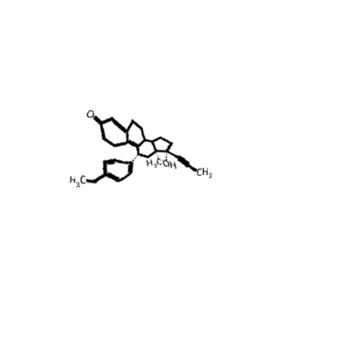 CC#C[C@]1(O)CCC2C3CCC4=CC(=O)CCC4=C3[C@@H](c3ccc(CC)cc3)C[C@@]21C